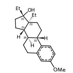 CC[C@]1(O)CC[C@H]2[C@@H]3CCc4cc(OC)ccc4[C@H]3CC[C@@]21CC